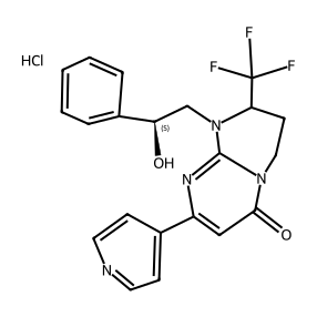 Cl.O=c1cc(-c2ccncc2)nc2n1CCC(C(F)(F)F)N2C[C@@H](O)c1ccccc1